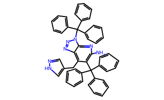 Nc1nc2c(nnn2C(c2ccccc2)(c2ccccc2)c2ccccc2)c(Cc2cn[nH]c2)c1C(c1ccccc1)(c1ccccc1)c1ccccc1